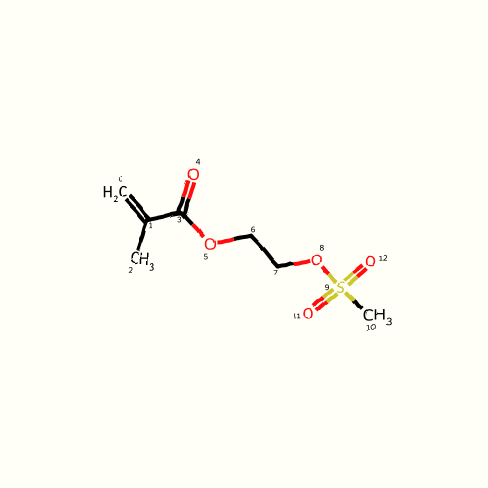 C=C(C)C(=O)OCCOS(C)(=O)=O